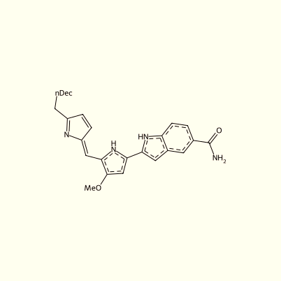 CCCCCCCCCCCC1=NC(=Cc2[nH]c(-c3cc4cc(C(N)=O)ccc4[nH]3)cc2OC)C=C1